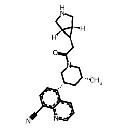 C[C@@H]1C[C@H](c2ccc(C#N)c3ncccc23)CN(C(=O)C[C@H]2[C@@H]3CNC[C@@H]32)C1